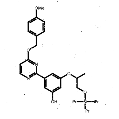 COc1ccc(COc2ccnc(-c3cc(O)cc(OC(C)CO[Si](C(C)C)(C(C)C)C(C)C)c3)n2)cc1